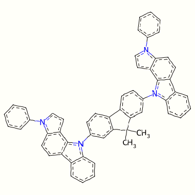 CC1(C)c2cc(-n3c4ccccc4c4ccc5c(ccn5-c5ccccc5)c43)ccc2-c2ccc(-n3c4ccccc4c4ccc5c(ccn5-c5ccccc5)c43)cc21